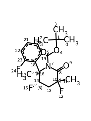 CC(C)(C)OC(=O)N1C(=O)[C@](C)(F)C[C@H](F)[C@@]1(C)c1ccccc1F